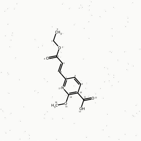 CCOC(=O)C=Cc1ccc(C(=O)O)c(OC)n1